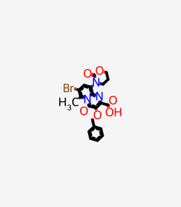 Cc1c(Br)cc(N2CCCOC2=O)c2nc(C(=O)O)c(OCc3ccccc3)c(=O)n12